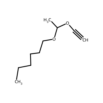 C#COC(C)OCCCCCC